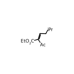 CCOC(=O)C(=CCC(C)C)C(C)=O